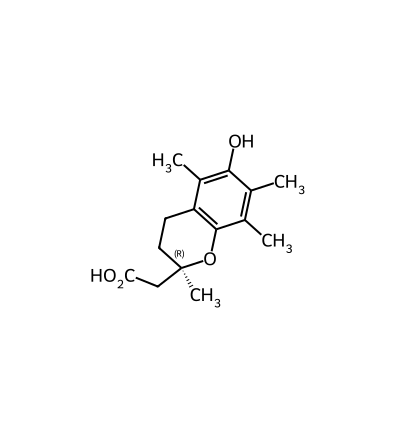 Cc1c(C)c2c(c(C)c1O)CC[C@](C)(CC(=O)O)O2